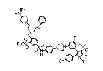 Cc1c(S(C)(=O)=O)c(-c2cc(F)cc(N3CCN(c4ccc(NS(=O)(=O)c5ccc(N[C@@H](CCSc6ccccc6)CCN6CCC(NC(C)C)CC6)c(S(=O)(=O)C(F)(F)F)c5)cc4)CC3)c2)c(-c2ccc(Cl)cc2)n1C(C)C